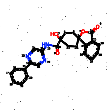 O=C1OC2(CCC(O)(C(=O)Nc3cnc(-c4ccccc4)cn3)CC2)c2ccccc21